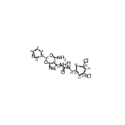 NC(=O)c1c(OCc2cccnc2)nsc1NC(=O)NCc1cc(Cl)cc(Cl)c1